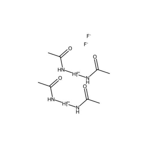 CC(=O)[NH][Hf+][NH]C(C)=O.CC(=O)[NH][Hf+][NH]C(C)=O.[F-].[F-]